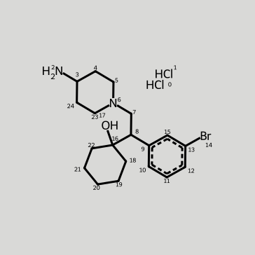 Cl.Cl.NC1CCN(CC(c2cccc(Br)c2)C2(O)CCCCC2)CC1